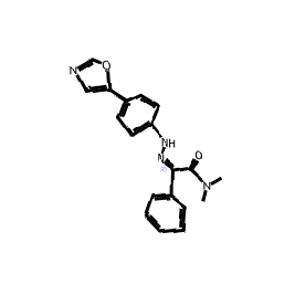 CN(C)C(=O)/C(=N\Nc1ccc(-c2cnco2)cc1)c1ccccc1